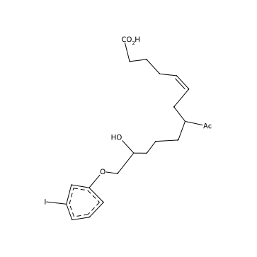 CC(=O)C(C/C=C\CCCC(=O)O)CCCC(O)COc1cccc(I)c1